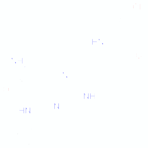 CC1(Nc2nc(Nc3ccc4c(c3)NC[C@H](O)CO4)ncc2C(N)=O)CC1